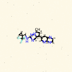 C.FC(F)(F)C1(CNc2ncc3c(-c4cnc5nccnc5c4)ccn3n2)CC1